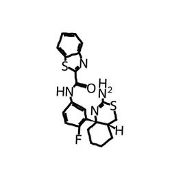 NC1=N[C@@]2(c3cc(NC(=O)c4nc5ccccc5s4)ccc3F)CCCC[C@H]2CS1